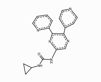 O=C(Nc1cnc(-c2ccncc2)c(-c2ccccn2)n1)NC1CC1